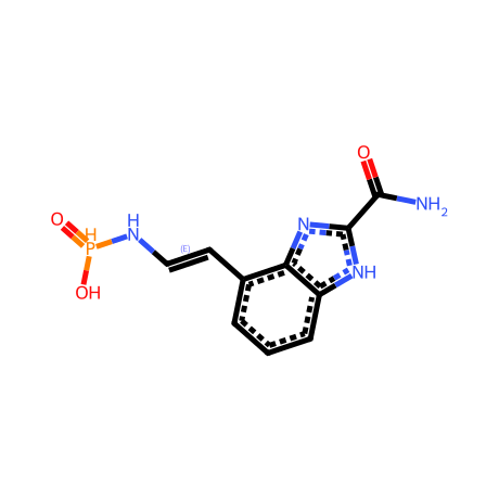 NC(=O)c1nc2c(/C=C/N[PH](=O)O)cccc2[nH]1